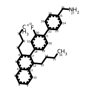 CCCCc1cc2ccccc2c(CCCC)c1-c1ccc(-c2ccc(CN)cc2)c(F)c1